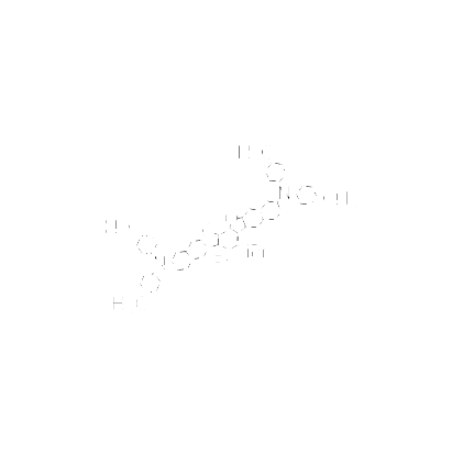 Cc1ccc(N(c2ccc(C)cc2)c2ccc3cc4c(cc3c2)oc2c3oc5cc6cc(N(c7ccc(C)cc7)c7ccc(C)cc7)ccc6cc5c3c(C(C)C)c(C(C)C)c42)cc1